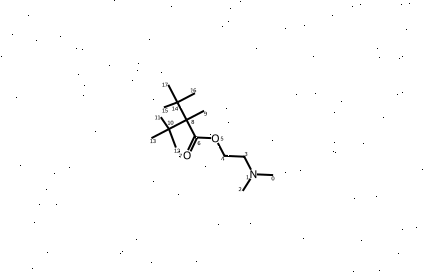 CN(C)CCOC(=O)C(C)(C(C)(C)C)C(C)(C)C